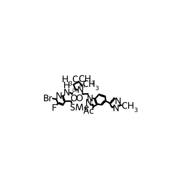 CSCc1cc(F)c(Br)nc1NC(=O)[C@@H]1CC(C)(C)[C@@H](C)N1C(=O)Cn1nc(C(C)=O)c2cc(-c3cnc(C)nc3)ccc21